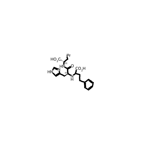 CC(C)C[C@H](NC(=O)[C@H](Cc1c[nH]cn1)NC(CCc1ccccc1)C(=O)O)C(=O)O